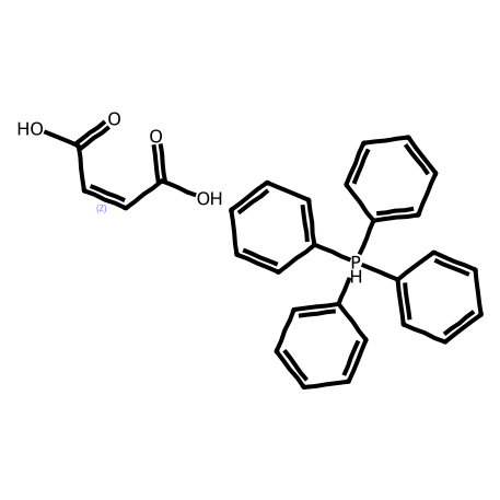 O=C(O)/C=C\C(=O)O.c1ccc([PH](c2ccccc2)(c2ccccc2)c2ccccc2)cc1